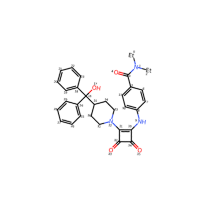 CCN(CC)C(=O)c1ccc(Nc2c(N3CCC(C(O)(c4ccccc4)c4ccccc4)CC3)c(=O)c2=O)cc1